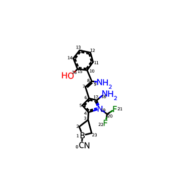 N#CB1CC(c2cc(/C=C(\N)c3ccccc3O)c(N)n2C(F)F)C1